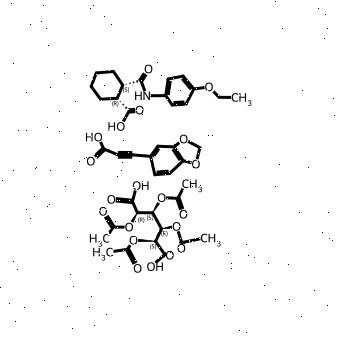 CC(=O)O[C@H]([C@H](OC(C)=O)[C@@H](OC(C)=O)C(=O)O)[C@H](OC(C)=O)C(=O)O.CCOc1ccc(NC(=O)[C@H]2CCCC[C@H]2C(=O)O)cc1.O=C(O)C#Cc1ccc2c(c1)OCO2